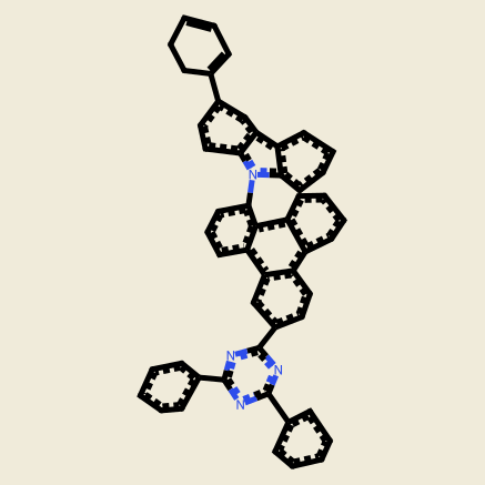 C1=CCCC(c2ccc3c(c2)c2ccccc2n3-c2cccc3c4cc(-c5nc(-c6ccccc6)nc(-c6ccccc6)n5)ccc4c4ccccc4c23)=C1